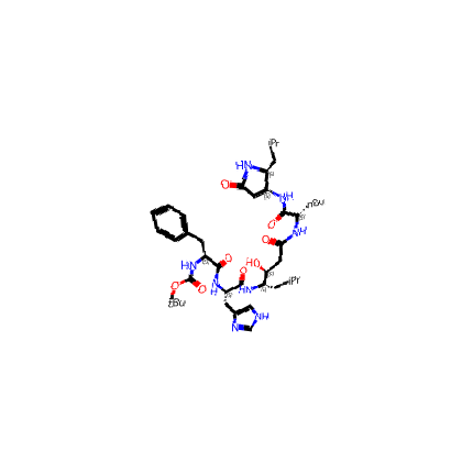 CCCC[C@H](NC(=O)C[C@H](O)[C@H](CC(C)C)NC(=O)[C@H](Cc1c[nH]cn1)NC(=O)[C@H](Cc1ccccc1)NC(=O)OC(C)(C)C)C(=O)N[C@H]1CC(=O)N[C@H]1CC(C)C